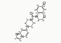 O=C(N1CCN(c2ccn3ccnc3c2)CC1)N1CCOc2cc(Cl)ccc21